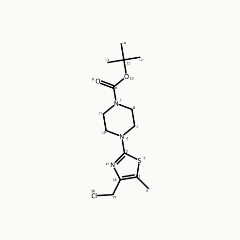 Cc1sc(N2CCN(C(=O)OC(C)(C)C)CC2)nc1CCl